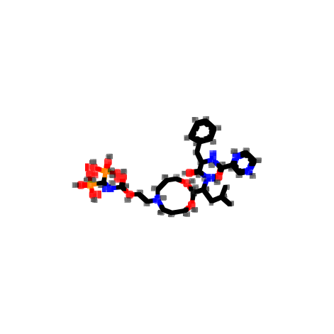 CC(C)CC(NC(=O)C(Cc1ccccc1)NC(=O)c1cnccn1)B1OCCCN(CCOC(=O)NC(P(=O)(O)O)P(=O)(O)O)CCCO1